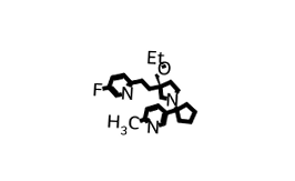 CCOC[C@@]1(CCc2ccc(F)cn2)CCN(C2(c3ccc(C)nc3)CCCC2)C1